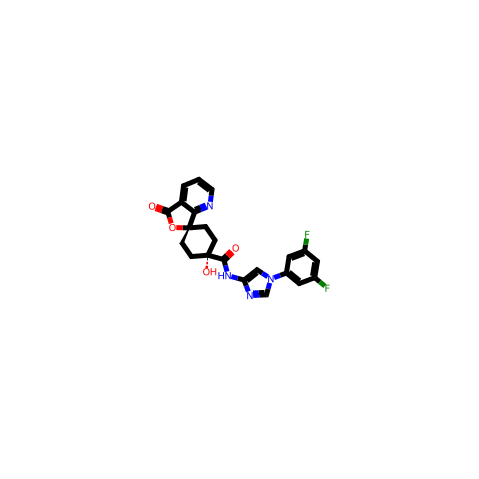 O=C1O[C@]2(CC[C@](O)(C(=O)Nc3cn(-c4cc(F)cc(F)c4)cn3)CC2)c2ncccc21